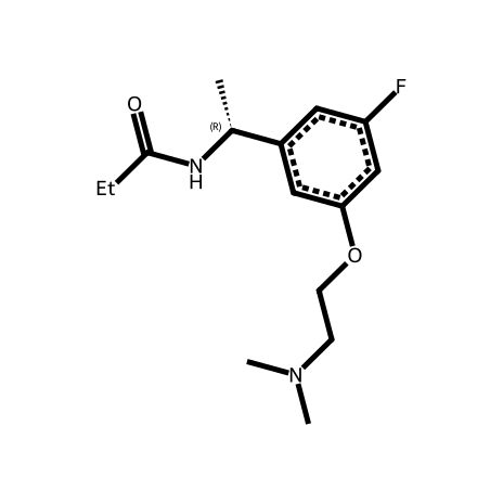 CCC(=O)N[C@H](C)c1cc(F)cc(OCCN(C)C)c1